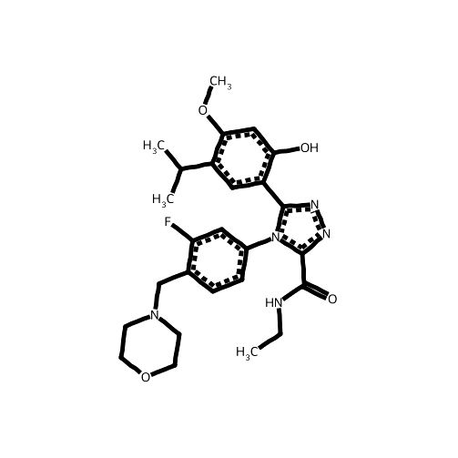 CCNC(=O)c1nnc(-c2cc(C(C)C)c(OC)cc2O)n1-c1ccc(CN2CCOCC2)c(F)c1